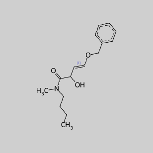 CCCCN(C)C(=O)C(O)/C=C/OCc1ccccc1